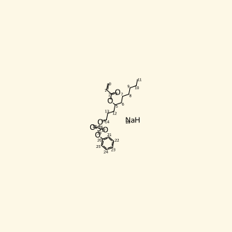 C=CC(=O)OC(CCCCCC)CCCOS(=O)(=O)Oc1ccccc1.[NaH]